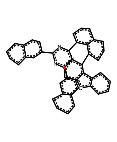 c1ccc2cc(-c3nc(-c4ccc5ccccc5c4)nc(-c4cccc5cccc(-c6cccc7oc8ccccc8c67)c45)n3)ccc2c1